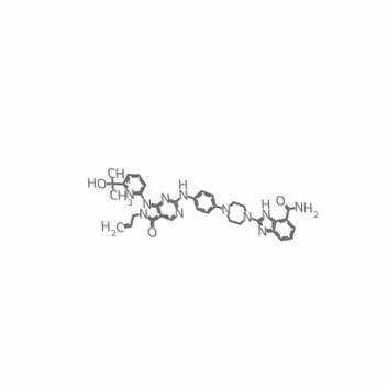 C=CCn1c(=O)c2cnc(Nc3ccc(N4CCN(c5nc6cccc(C(N)=O)c6[nH]5)CC4)cc3)nc2n1-c1cccc(C(C)(C)O)n1